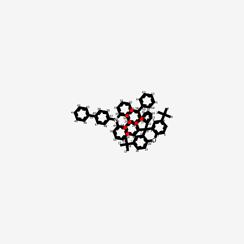 CC(C)(C)c1ccc2c(c1)C1(c3cc(C(C)(C)C)ccc3O2)c2ccccc2-c2c(-c3ccccc3N(c3ccc(-c4ccccc4)cc3)c3ccccc3-c3ccc(-c4ccccc4)cc3)cccc21